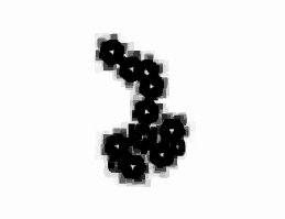 c1ccc(-c2ccc3c(ccc4ccc(-c5ccc(-c6nc(-c7cccc8oc9ccccc9c78)nc(-c7cccc8oc9ccccc9c78)n6)cc5)cc43)c2)cc1